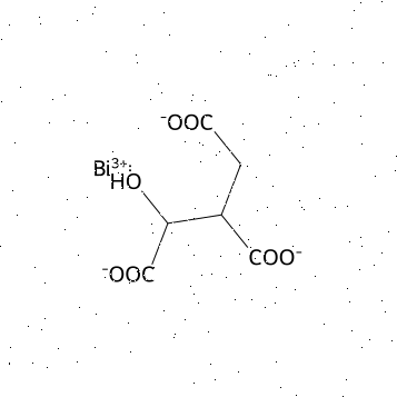 O=C([O-])CC(C(=O)[O-])C(O)C(=O)[O-].[Bi+3]